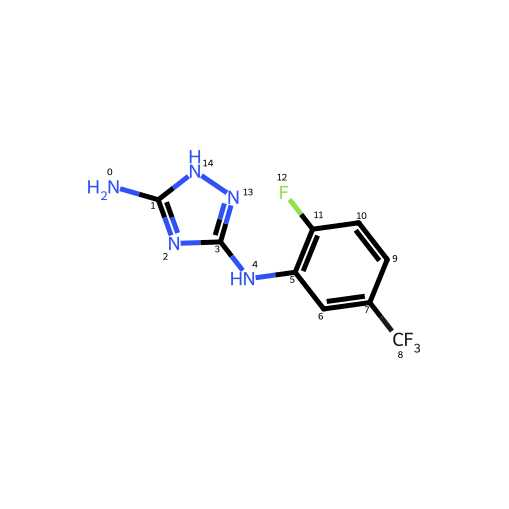 Nc1nc(Nc2cc(C(F)(F)F)ccc2F)n[nH]1